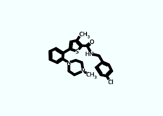 Cc1cc(-c2ccccc2N2CCN(C)CC2)sc1C(=O)NCc1ccc(Cl)cc1